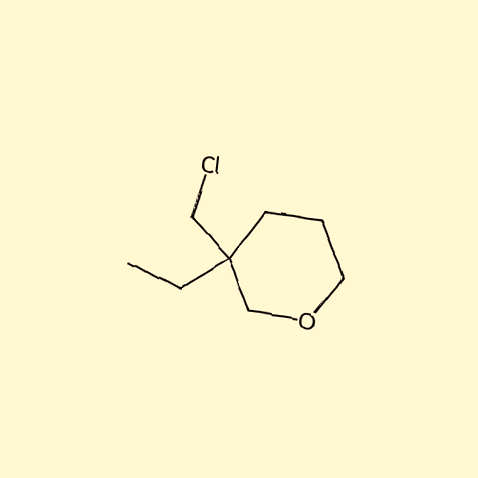 CCC1(CCl)CCCOC1